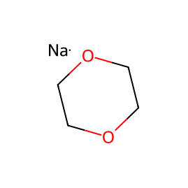 C1COCCO1.[Na]